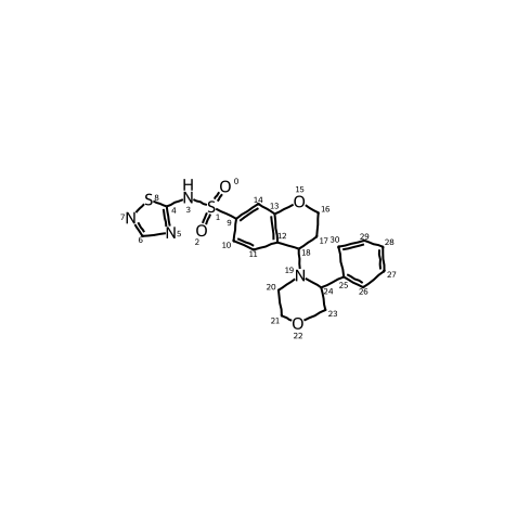 O=S(=O)(Nc1ncns1)c1ccc2c(c1)OCCC2N1CCOCC1c1ccccc1